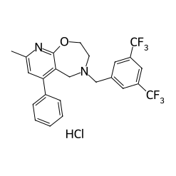 Cc1cc(-c2ccccc2)c2c(n1)OCCN(Cc1cc(C(F)(F)F)cc(C(F)(F)F)c1)C2.Cl